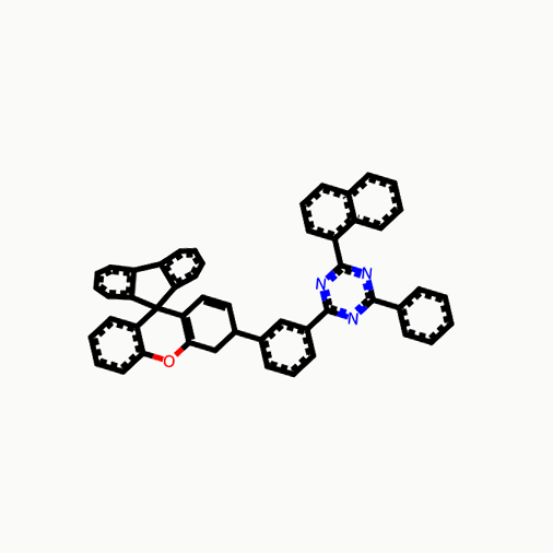 C1=CC(c2cccc(-c3nc(-c4ccccc4)nc(-c4cccc5ccccc45)n3)c2)CC2=C1C1(c3ccccc3O2)c2ccccc2-c2ccccc21